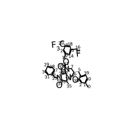 Cc1ccc(C[C@H]2CN(C(=O)OCc3cc(CF)cc(C(F)(F)F)c3)[C@H]3CN(Cc4ccccc4)C(=O)[C@H](C)N3C2=O)cc1